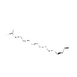 C=C/C=C\CCCCCCCCCCC(O)CCC